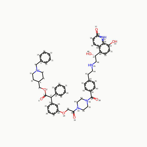 O=C(OCC1CCN(Cc2ccccc2)CC1)C(c1ccccc1)c1cccc(OCC(=O)N2CCN(C(=O)c3ccc(CCNC[C@H](O)c4ccc(O)c5[nH]c(=O)ccc45)cc3)CC2)c1